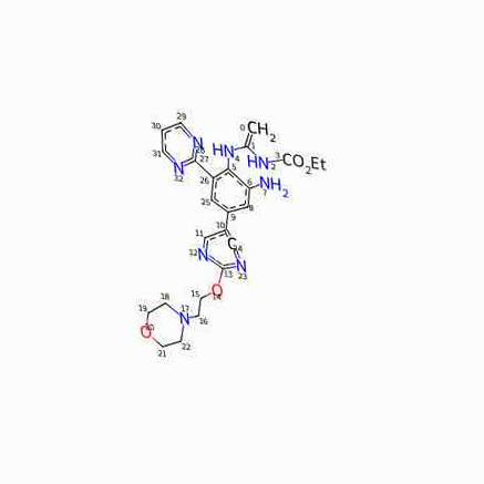 C=C(NC(=O)OCC)Nc1c(N)cc(-c2cnc(OCCN3CCOCC3)nc2)cc1-c1ncccn1